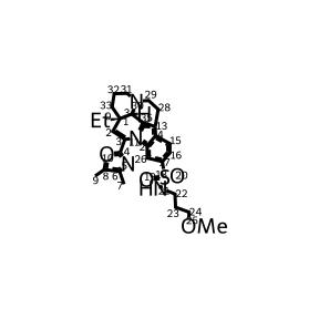 CC[C@@]12C=C(c3nc(C)c(C)o3)n3c4c(c5ccc(S(=O)(=O)NCCCOC)cc53)CCN(CCC1)[C@H]42